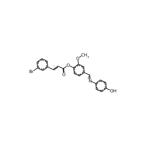 COc1cc(/C=N/c2ccc(O)cc2)ccc1OC(=O)/C=C/c1cccc(Br)c1